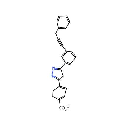 O=C(O)c1ccc(C2=NN=C(c3cccc(C#CCc4ccccc4)c3)C2)cc1